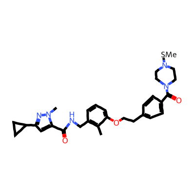 CSN1CCN(C(=O)c2ccc(CCOc3cccc(CNC(=O)c4cc(C5CC5)nn4C)c3C)cc2)CC1